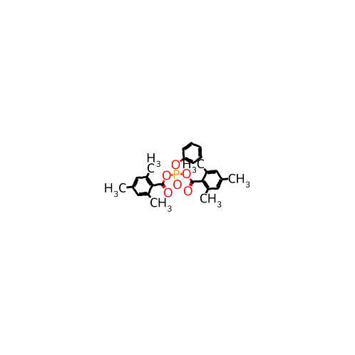 Cc1cc(C)c(C(=O)OP(=O)(OC(=O)c2c(C)cc(C)cc2C)Oc2ccccc2)c(C)c1